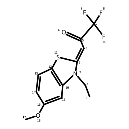 CCN1/C(=C/C(=O)C(F)(F)F)Sc2ccc(OC)cc21